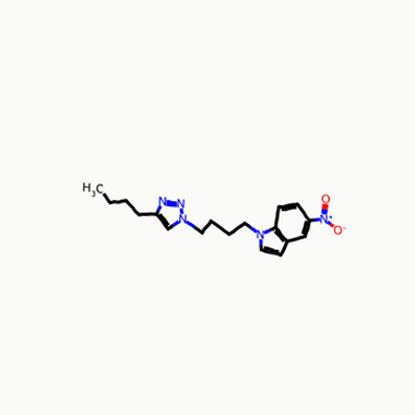 CCCCc1cn(CCCCn2ccc3cc([N+](=O)[O-])ccc32)nn1